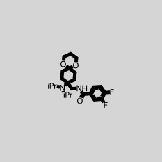 CC(C)N(C(C)C)C1(CNC(=O)c2ccc(F)c(F)c2)CCC2(CC1)OCCCO2